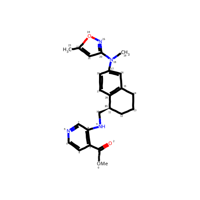 COC(=O)c1ccncc1NC[C@@H]1CCCc2cc(N(C)c3cc(C)on3)ccc21